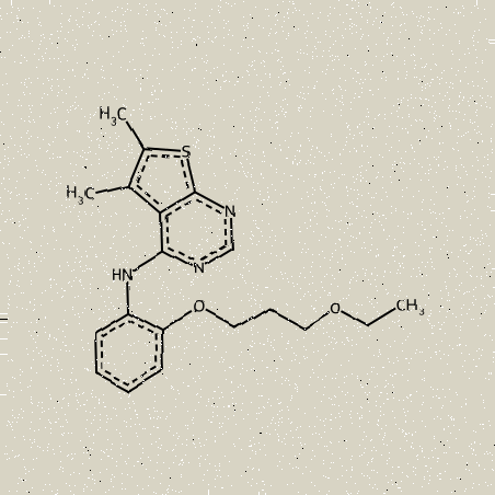 CCOCCCOc1ccccc1Nc1ncnc2sc(C)c(C)c12